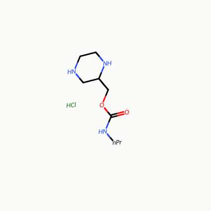 CCCNC(=O)OCC1CNCCN1.Cl